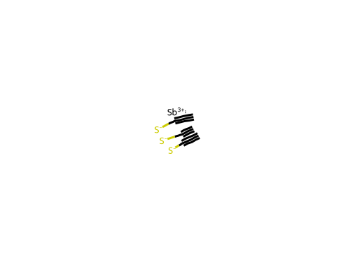 C#C[S-].C#C[S-].C#C[S-].[Sb+3]